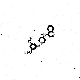 CCOc1cc(CN2CCC(Nc3ccnc4ccccc34)CC2)cc(OCC)c1